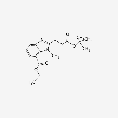 CCOC(=O)c1cccc2nc(CNC(=O)OC(C)(C)C)n(C)c12